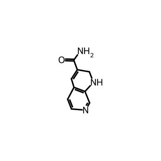 NC(=O)C1=Cc2ccncc2NC1